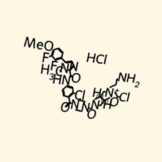 COc1ccc(-c2cnc(C(=O)Nc3ccc(C(=O)N4CCN(C(=O)N5C[C@@H]6C[N+](CCCN)(CC(=O)Cl)C[C@@H]6C5)CC4)c(Cl)c3)n2C)c(F)c1F.Cl